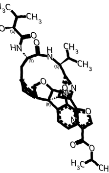 CC(C)OC(=O)c1coc(-c2nc3oc2[C@@]24c5ccccc5NC2Oc2ccc(cc24)C[C@H](NC(=O)[C@@H](O)C(C)C)C(=O)N[C@H]3C(C)C)n1